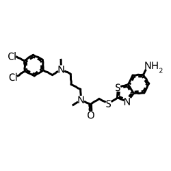 CN(CCCN(C)C(=O)CSc1nc2ccc(N)cc2s1)Cc1ccc(Cl)c(Cl)c1